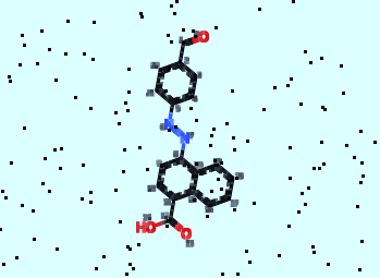 O=Cc1ccc(N=Nc2ccc(C(=O)O)c3ccccc23)cc1